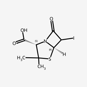 CC1(C)S[C@@H]2C(I)C(=O)N2[C@H]1C(=O)O